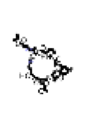 CCC(C)OC(=O)/C=C/C=C(\C)[C@@H]1C/C=C/C=C/[C@H](O)[C@H](C)[C@@H](O)[C@@H](CCC(C)=O)C(=O)N[C@@H](C(C)C)C(=O)N[C@@H](Cc2cc(O)cc(F)c2)C(=O)N2CCCC(N2)C(=O)O1